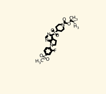 CC(C)OC(=O)N1CCC(S(=O)(=O)c2ncnc3c2CCN3c2ccc(S(C)(=O)=O)cc2F)CC1